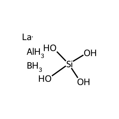 B.O[Si](O)(O)O.[AlH3].[La]